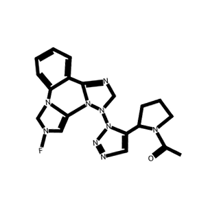 CC(=O)N1CCCC1c1cnnn1N1CN=C2c3ccccc3N3CN(F)C=C3N21